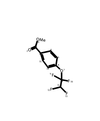 COC(=O)c1ccc(OC(F)(F)C(F)F)cc1